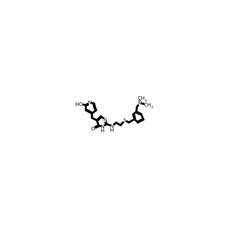 CN(C)Cc1cccc(CSCCNc2ncc(Cc3ccnc(O)c3)c(=O)[nH]2)c1